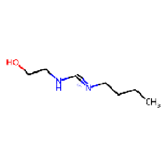 CCCC/N=C/NCCO